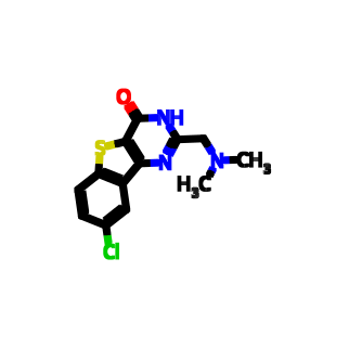 CN(C)Cc1nc2c(sc3ccc(Cl)cc32)c(=O)[nH]1